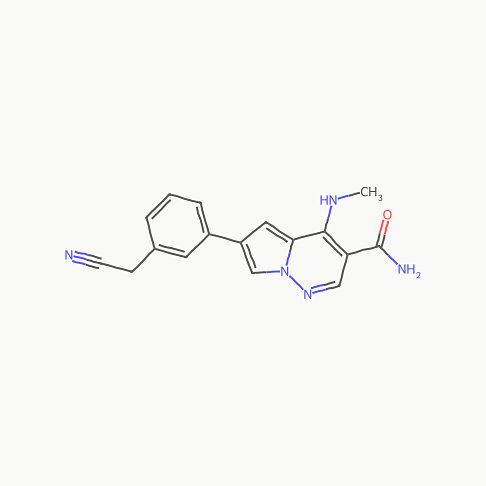 CNc1c(C(N)=O)cnn2cc(-c3cccc(CC#N)c3)cc12